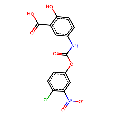 O=C(Nc1ccc(O)c(C(=O)O)c1)Oc1ccc(Cl)c([N+](=O)[O-])c1